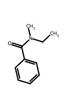 C[CH]N(C)C(=O)c1ccccc1